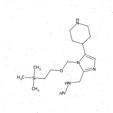 CCCNCc1ncc(C2CCNCC2)n1COCC[Si](C)(C)C